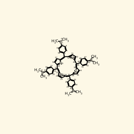 CB(C)c1ccc(-c2c3nc(c(-c4ccc(B(C)C)cc4)c4ccc([nH]4)c(-c4ccc(B(C)C)cc4)c4nc(c(-c5ccc(B(C)C)cc5)c5ccc2[nH]5)C=C4)C=C3)cc1